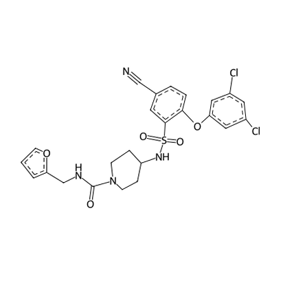 N#Cc1ccc(Oc2cc(Cl)cc(Cl)c2)c(S(=O)(=O)NC2CCN(C(=O)NCc3ccco3)CC2)c1